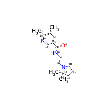 Cc1cc(C(=O)NCCN2CCCC2(C)C)cnc1C